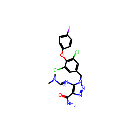 CN(C)/C=N/c1c(C(N)=O)nnn1Cc1cc(Cl)c(Oc2ccc(I)cc2)c(Cl)c1